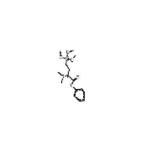 CO[Si](CCC(C(=O)Oc1ccccc1)[SiH](C)C)(OC)OC